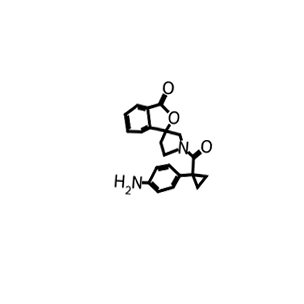 Nc1ccc(C2(C(=O)N3CCC4(C3)OC(=O)c3ccccc34)CC2)cc1